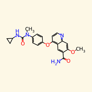 COc1cc2nccc(Oc3ccc(N(C)C(=O)NC4CC4)cc3)c2cc1C(N)=O